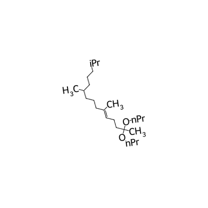 CCCOC(C)(CC/C=C(\C)CCCC(C)CCCC(C)C)OCCC